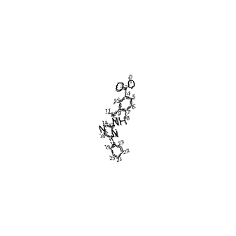 COC(=O)c1ccc(C)c(C(C)Nc2cncc(-c3ccccc3)n2)c1